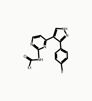 CCC(=O)Nc1nccc(-c2c[nH]nc2-c2ccc(F)cc2)n1